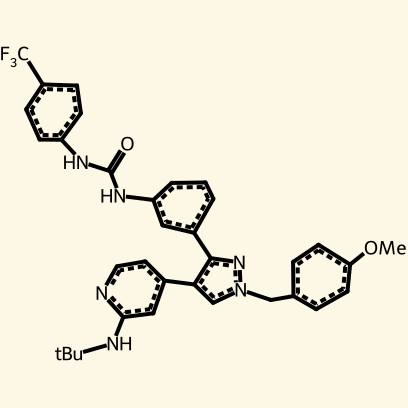 COc1ccc(Cn2cc(-c3ccnc(NC(C)(C)C)c3)c(-c3cccc(NC(=O)Nc4ccc(C(F)(F)F)cc4)c3)n2)cc1